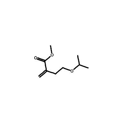 C=C(CCOC(C)C)C(=O)OC